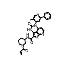 C=CC(=O)N1CCCC(NC(=O)c2sc3nccc4c3c2NC(=O)N4c2cc(-c3ccccc3)ncc2C)C1